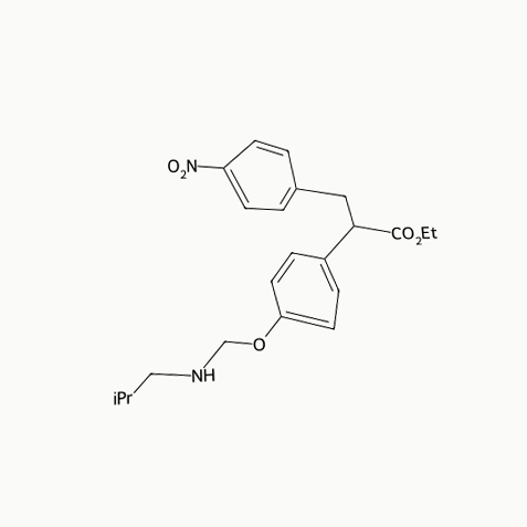 CCOC(=O)C(Cc1ccc([N+](=O)[O-])cc1)c1ccc(OCNCC(C)C)cc1